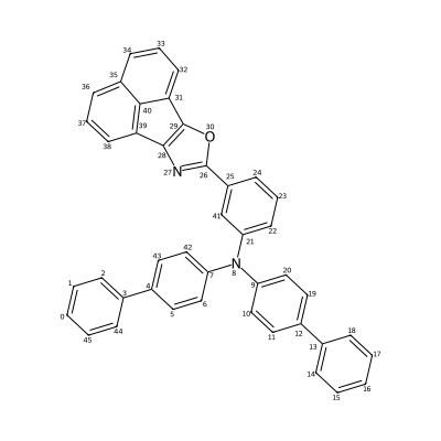 c1ccc(-c2ccc(N(c3ccc(-c4ccccc4)cc3)c3cccc(-c4nc5c(o4)-c4cccc6cccc-5c46)c3)cc2)cc1